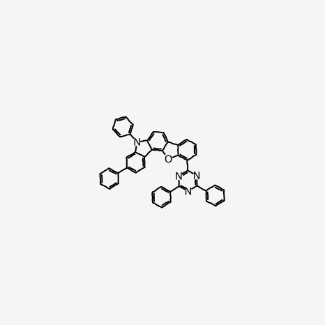 c1ccc(-c2ccc3c4c5oc6c(-c7nc(-c8ccccc8)nc(-c8ccccc8)n7)cccc6c5ccc4n(-c4ccccc4)c3c2)cc1